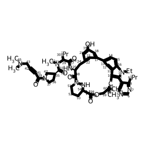 CCn1c(-c2cncnc2C(C)C)c2c3cc(ccc31)-c1cc(O)cc(c1)C[C@H](NC(=O)C(C(C)C)N(C)C(=O)[C@H]1CCN(C(=O)C#CCN(C)C)C1)C(=O)N1CCC[C@H](N1)C(=O)OCC(C)(C)C2